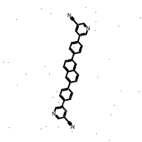 N#Cc1cncc(-c2ccc(-c3ccc4cc(-c5ccc(-c6cncc(C#N)c6)cc5)ccc4c3)cc2)c1